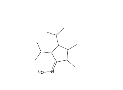 CC(C)C1/C(=N\O)C(C)C(C)C1C(C)C